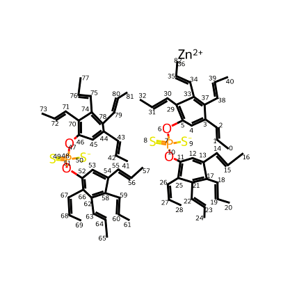 CC=Cc1cc(OP(=S)([S-])Oc2cc(C=CC)c(C=CC)c(C=CC)c2C=CC)c(C=CC)c(C=CC)c1C=CC.CC=Cc1cc(OP(=S)([S-])Oc2cc(C=CC)c(C=CC)c(C=CC)c2C=CC)c(C=CC)c(C=CC)c1C=CC.[Zn+2]